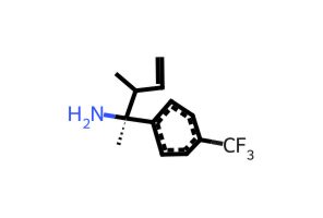 C=CC(C)[C@](C)(N)c1ccc(C(F)(F)F)cc1